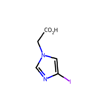 O=C(O)Cn1cnc(I)c1